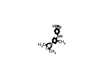 Cc1cc(N2C[C@@H](C)O[C@@H](C)C2)ccc1Nc1ccc2[nH]cnc2c1